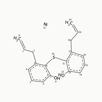 C=CCc1cccc(O)c1Sc1c(O)cccc1CC=C.[Ni]